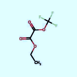 CCOC(=O)C(=O)OC(F)(F)F